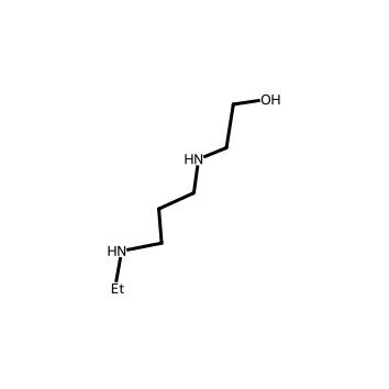 [CH2]CNCCCNCCO